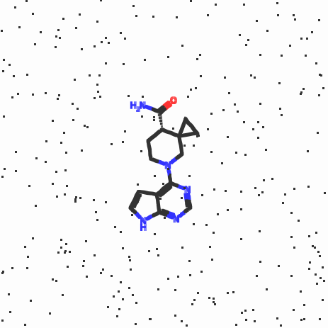 NC(=O)[C@H]1CCN(c2ncnc3[nH]ccc23)CC12CC2